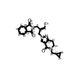 O=C1c2cn(CC(=CF)CN3C(=O)c4ccccc4C3=O)nc2CCN1CC1CC1